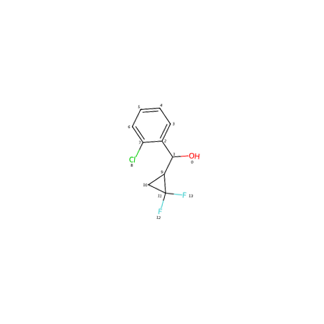 OC(c1ccccc1Cl)C1CC1(F)F